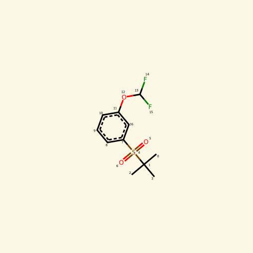 CC(C)(C)S(=O)(=O)c1cccc(OC(F)F)c1